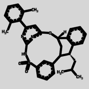 Cc1cccc(C)c1-c1cc2nc(n1)NS(=O)(=O)c1cccc(c1)C1C[C@H](O2)c2ccccc2[C@@H]1CC(C)C